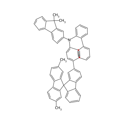 Cc1ccc2c(c1)C1(c3ccccc3-c3ccc(-c4ccc(N(c5ccc6c(c5)C(C)(C)c5ccccc5-6)c5ccccc5-c5ccccc5)cc4)cc31)c1cc(C)ccc1-2